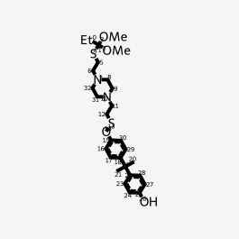 CCC(OC)(OC)SCCN1CCN(CCSOc2ccc(C(C)(C)c3ccc(O)cc3)cc2)CC1